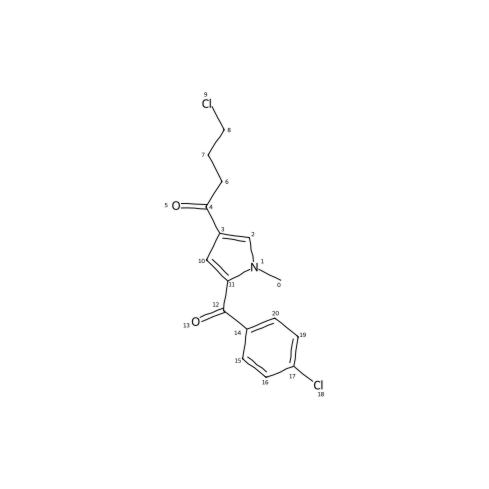 Cn1cc(C(=O)CCCCl)cc1C(=O)c1ccc(Cl)cc1